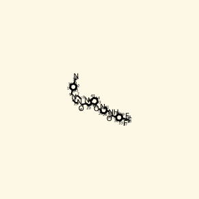 Cn1c(C(=O)N2CCN(Cc3ccc(C#N)cc3)CC2)cc2c(Oc3ccc(NC(=O)c4ccc(C(F)(F)F)cc4)cn3)cccc21